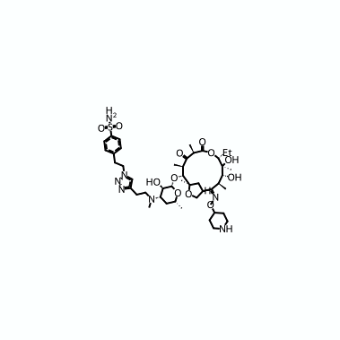 CC[C@H]1OC(=O)[C@H](C)C(=O)[C@H](C)[C@@H](O[C@@H]2O[C@H](C)C[C@H](N(C)CCc3cn(CCc4ccc(S(N)(=O)=O)cc4)nn3)[C@H]2O)[C@@]2(C)C[C@@H](CO2)/C(=N\OC2CCNCC2)[C@H](C)[C@@H](O)[C@]1(C)O